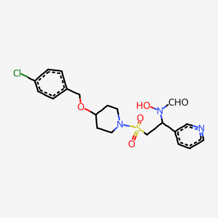 O=CN(O)C(CS(=O)(=O)N1CCC(OCc2ccc(Cl)cc2)CC1)c1cccnc1